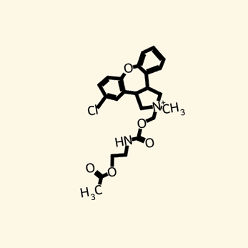 CC(=O)OCCNC(=O)OC[N+]1(C)CC2c3ccccc3Oc3ccc(Cl)cc3C2C1